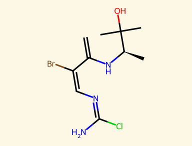 C=C(N[C@H](C)C(C)(C)O)/C(Br)=C\N=C(/N)Cl